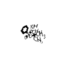 CC(C)(C)OS(=O)(=O)c1ccccc1.[KH]